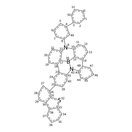 c1ccc(-c2cccc(N3c4cccc5c4B4c6c(cccc63)-c3cc(-c6cccc7c6sc6ccccc67)ccc3N4c3ccccc3-5)c2)cc1